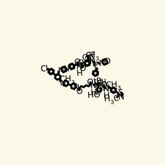 Cc1ncsc1-c1ccc([C@H](C)NC(=O)[C@@H]2C[C@@H](O)CN2C(=O)[C@@H](NC(=O)CCCCC(=O)N2CCC(C3CCN(CC4(C)CCC(c5ccc(Cl)cc5)=C(CN5CCN(c6ccc(C(=O)NS(=O)(=O)c7ccc(N[C@H](CCN8CCOCC8)CSc8ccccc8)c(S(=O)(=O)C(F)(F)F)c7)cc6)CC5)C4)CC3)CC2)C(C)(C)C)cc1